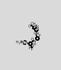 CC(=O)c1cc2cc(NCc3cc(NC(=O)c4cc(N5CCN(C)CC5)cc(C(F)(F)F)c4)ccc3F)cnc2[nH]1